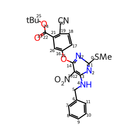 CSc1nc(NCc2ccccc2)c([N+](=O)[O-])c(Oc2ccc(C#N)c(C(=O)OC(C)(C)C)c2)n1